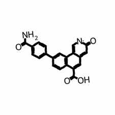 NC(=O)c1ccc(-c2ccc3c(C(=O)O)cc4c(c3c2)=C[N]C(=O)C=4)cc1